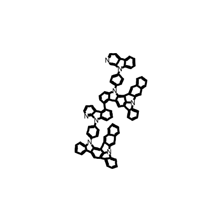 c1ccc2cc3c(cc2c1)c1c2c(cc4c5ccccc5n3c41)c1ccccc1n2-c1ccc(-n2c3cccc(-c4cccc5c4c4cc6c7ccccc7n7c8cc9ccccc9cc8c(c4n5-c4ccc(-n5c8ccccc8c8ccncc85)cc4)c67)c3c3cccnc32)cc1